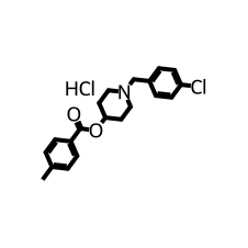 Cc1ccc(C(=O)OC2CCN(Cc3ccc(Cl)cc3)CC2)cc1.Cl